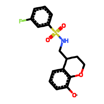 [O]c1cccc2c1OCCC2CNS(=O)(=O)c1cccc(F)c1